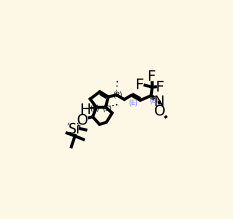 CO/N=C(\C=C\C[C@@H](C)C1=CC[C@H]2C(O[Si](C)(C)C(C)(C)C)CCC[C@]12C)C(F)(F)F